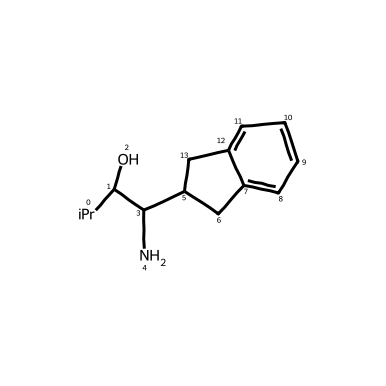 CC(C)C(O)C(N)C1Cc2ccccc2C1